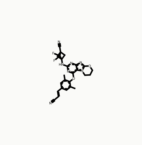 Cc1cc(/C=C/C#N)cc(C)c1Oc1nc(NC23CC(C#N)(C2)C3(F)F)nc2nc3n(c12)CCCO3